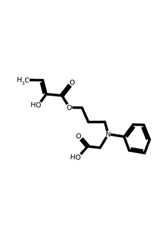 CC=C(O)C(=O)OCCCN(CC(=O)O)c1ccccc1